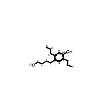 CCCc1cc(CCCCO)c(CCC)cc1O